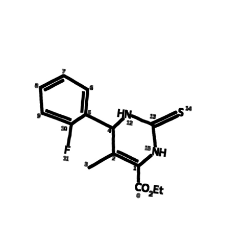 CCOC(=O)C1=C(C)C(c2ccccc2F)NC(=S)N1